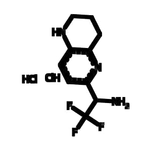 Cl.Cl.NC(c1ccc2c(n1)CCCN2)C(F)(F)F